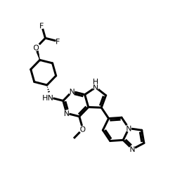 COc1nc(N[C@H]2CC[C@H](OC(F)F)CC2)nc2[nH]cc(-c3ccc4nccn4c3)c12